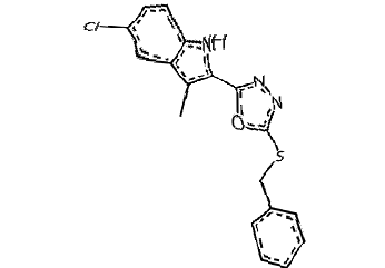 Cc1c(-c2nnc(SCc3ccccc3)o2)[nH]c2ccc(Cl)cc12